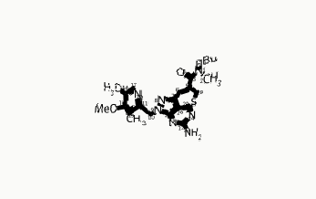 CCCCN(C)C(=O)C1=Cc2nn(Cc3ncc(C)c(OC)c3C)c3nc(N)nc(c23)SC1